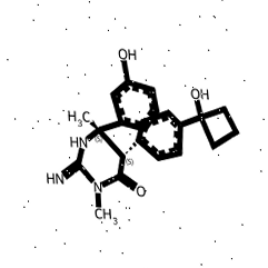 CN1C(=N)N[C@](C)(c2cccc(O)c2)[C@H](c2ccc(C3(O)CCC3)cc2)C1=O